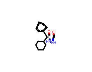 N=C=O.N=C=O.c1ccc(CC2CCCCC2)cc1